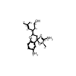 Bc1ccc2c(c1)C1(CC(C(C=C(C)C)CCO)O2)N=C(N)N(C)O1